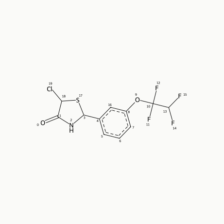 O=C1NC(c2cccc(OC(F)(F)C(F)F)c2)SC1Cl